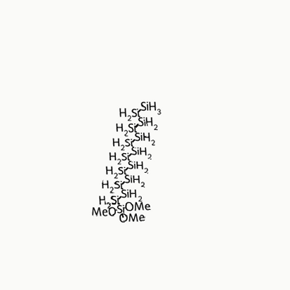 CO[Si](OC)(OC)[SiH2][SiH2][SiH2][SiH2][SiH2][SiH2][SiH2][SiH2][SiH2][SiH2][SiH2][SiH2][SiH2][SiH3]